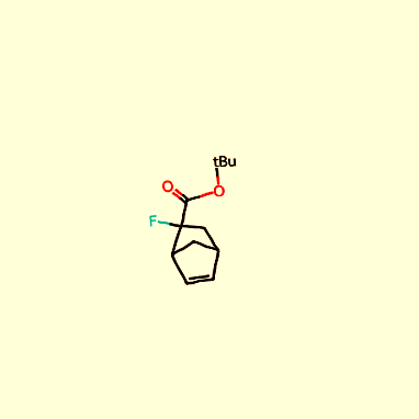 CC(C)(C)OC(=O)C1(F)CC2C=CC1C2